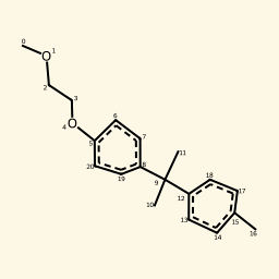 COCCOc1ccc(C(C)(C)c2ccc(C)cc2)cc1